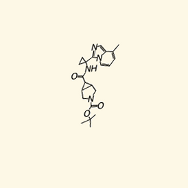 Cc1cccn2c(C3(NC(=O)C4C5CN(C(=O)OC(C)(C)C)CC54)CC3)ncc12